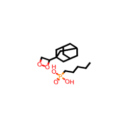 C1C2CC3CC1CC(C1COO1)(C2)C3.CCCCCP(=O)(O)O